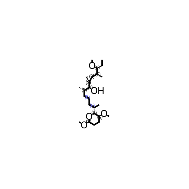 CC[C@H](OC)[C@@H](C)[C@H]1C[C@@H]1[C@H](O)[C@@H](C)/C=C/C=C(\C)[C@H]1O[C@H](OC)CC[C@@H]1OC